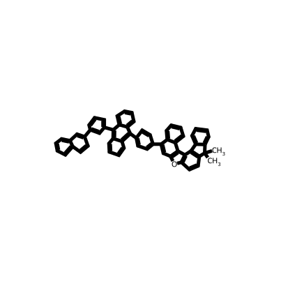 CC1(C)c2ccccc2-c2c1ccc1oc3cc(-c4ccc(-c5c6ccccc6c(-c6cccc(-c7ccc8ccccc8c7)c6)c6ccccc56)cc4)c4ccccc4c3c21